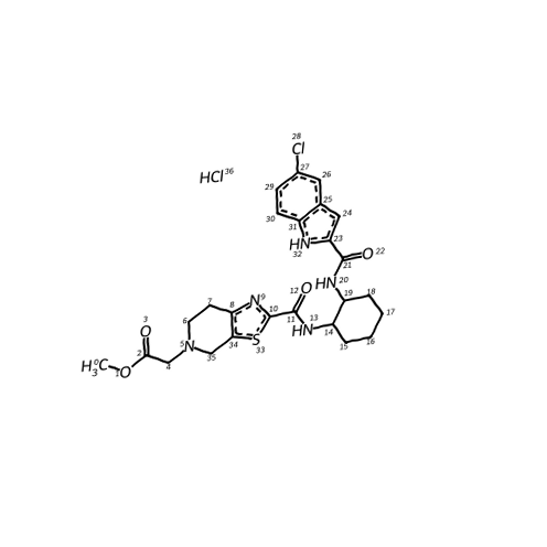 COC(=O)CN1CCc2nc(C(=O)NC3CCCCC3NC(=O)c3cc4cc(Cl)ccc4[nH]3)sc2C1.Cl